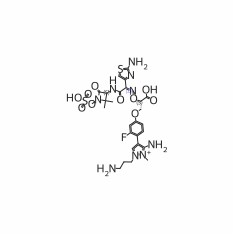 C[n+]1c(N)c(-c2ccc(OC[C@H](O/N=C(\C(=O)N[C@@H]3C(=O)N(OS(=O)(=O)O)C3(C)C)c3csc(N)n3)C(=O)O)cc2F)cn1CCCN